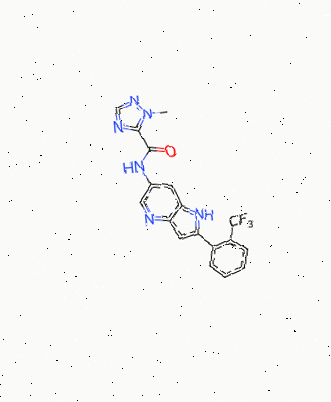 Cn1ncnc1C(=O)Nc1cnc2cc(-c3ccccc3C(F)(F)F)[nH]c2c1